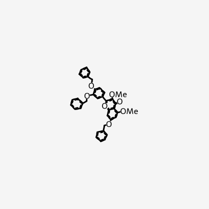 COc1c(-c2ccc(OCc3ccccc3)c(OCc3ccccc3)c2)oc2cc(OCc3ccccc3)cc(OC)c2c1=O